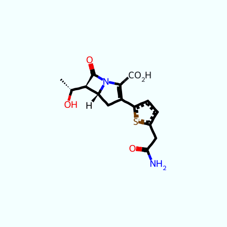 C[C@@H](O)[C@H]1C(=O)N2C(C(=O)O)=C(c3ccc(CC(N)=O)s3)C[C@H]12